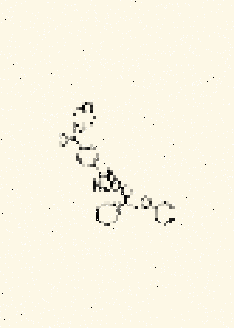 O=C(c1ccc(-c2noc(C3CCCCN3C(=O)COc3ccccc3)n2)cc1)N1CCOCC1